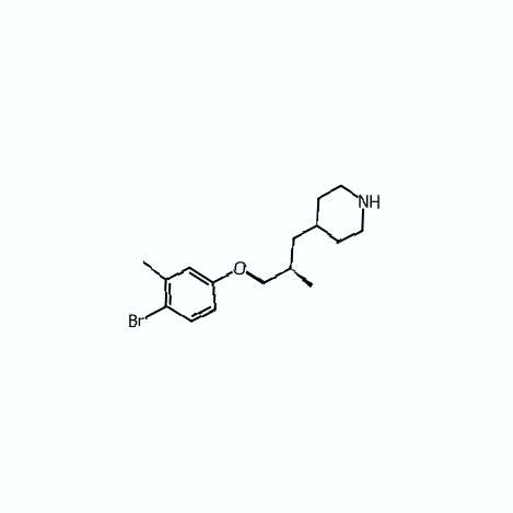 Cc1cc(OC[C@H](C)CC2CCNCC2)ccc1Br